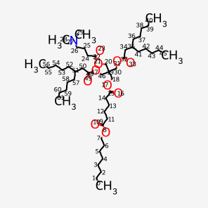 CCCCCCCCOC(=O)CCCCC(=O)OCC(COC(=O)CCCN(C)C)(COC(=O)CC(CCCCC)CCCCC)COC(=O)CC(CCCCC)CCCCC